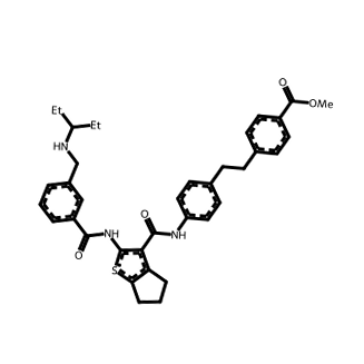 CCC(CC)NCc1cccc(C(=O)Nc2sc3c(c2C(=O)Nc2ccc(CCc4ccc(C(=O)OC)cc4)cc2)CCC3)c1